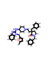 Cc1ccc(Cn2c(NC3CCN(CCC4(Cc5ccccc5)CCN(Cc5ccccc5)C4=O)CC3)nc3ccccc32)o1